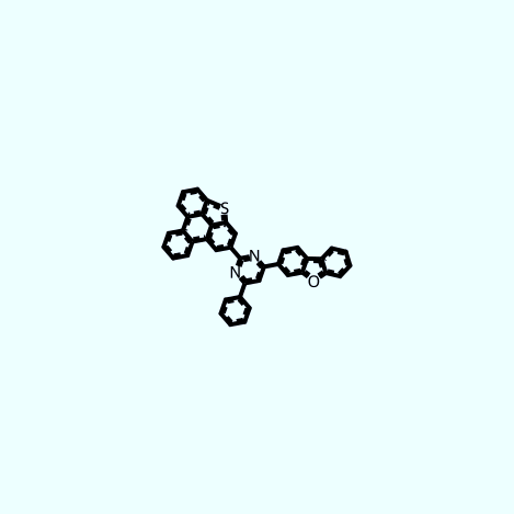 c1ccc(-c2cc(-c3ccc4c(c3)oc3ccccc34)nc(-c3cc4sc5cccc6c7ccccc7c(c3)c4c56)n2)cc1